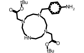 CC(C)(C)OC(=O)CN1CCNCCN(CC(=O)OC(C)(C)C)CCN(Cc2ccc(N)cc2)CC1